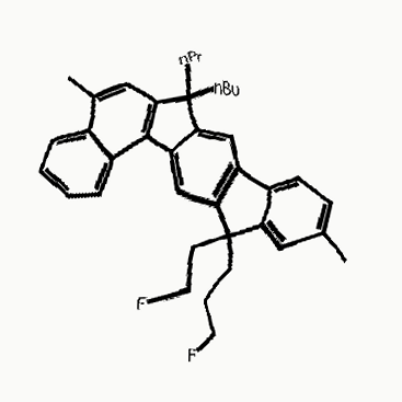 CCCCC1(CCC)c2cc3c(cc2-c2c1cc(C)c1ccccc21)C(CCF)(CCCF)c1cc(C)ccc1-3